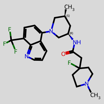 C[C@H]1C[C@@H](NC(=O)CC2(F)CCN(C)CC2)CN(c2ccc(C(F)(F)F)c3ncccc23)C1